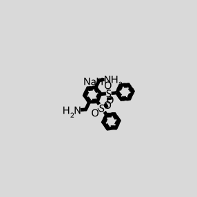 NCc1ccc(CN)c(S(=O)(=O)c2ccccc2)c1S(=O)(=O)c1ccccc1.[NaH]